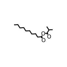 CCCCCCCCCC(=O)OC(=O)C(C)C